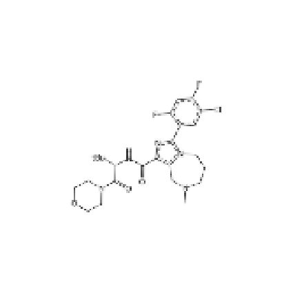 CN1CCCn2c(-c3cc(Cl)c(F)cc3F)nc(C(=O)NC(C(=O)N3CCOCC3)C(C)(C)C)c2C1